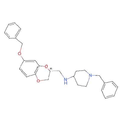 c1ccc(COc2ccc3c(c2)O[C@H](CNC2CCN(Cc4ccccc4)CC2)CO3)cc1